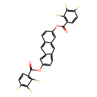 O=C(Oc1ccc2cc3cc(OC(=O)c4ccc(F)c(F)c4F)ccc3cc2c1)c1ccc(F)c(F)c1F